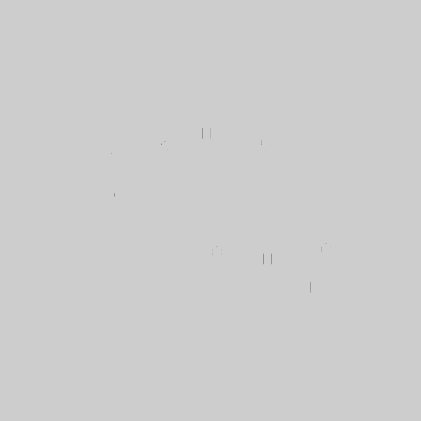 CC(=O)S[C@H]1CO[C@H]2[C@@H]1OC[C@@H]2OI